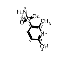 Cc1nc(O)ccc1S(N)(=O)=O